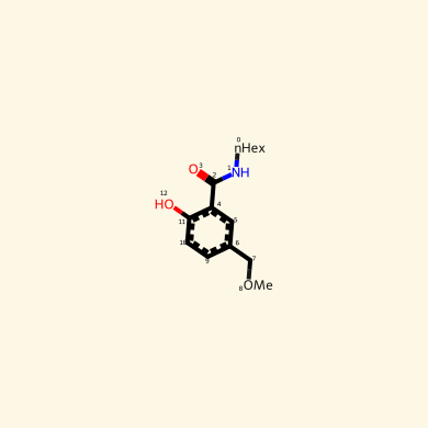 CCCCCCNC(=O)c1cc(COC)ccc1O